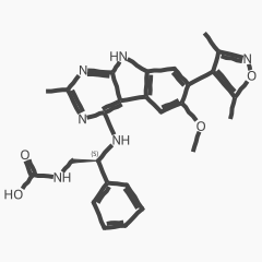 COc1cc2c(cc1-c1c(C)noc1C)[nH]c1nc(C)nc(N[C@H](CNC(=O)O)c3ccccc3)c12